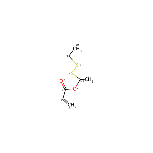 C=CC(=O)OC(C)SSCC